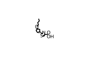 CCCCO[C@@H]1CC[C@H](c2nc(C(=O)O)cs2)C1